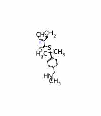 C=C/C(=C\C)C(=S)SC(C)(C)c1ccc(CNC)cc1